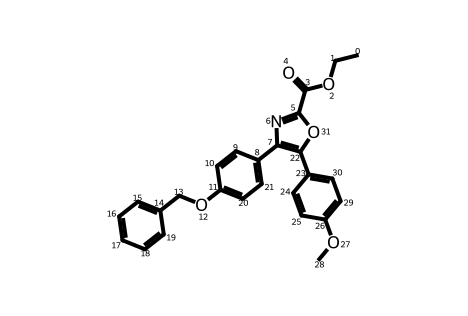 CCOC(=O)c1nc(-c2ccc(OCc3ccccc3)cc2)c(-c2ccc(OC)cc2)o1